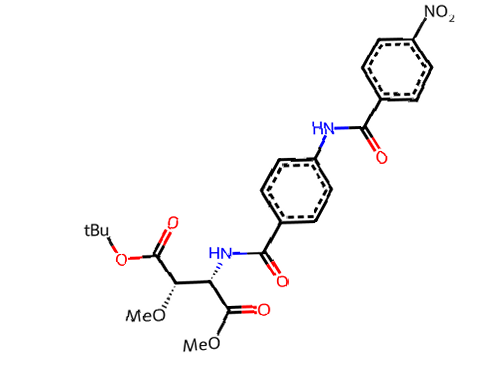 COC(=O)[C@@H](NC(=O)c1ccc(NC(=O)c2ccc([N+](=O)[O-])cc2)cc1)[C@H](OC)C(=O)OC(C)(C)C